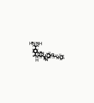 CN/C=C(\C=N)c1ccc(C(C)Nc2cc(-c3cnc4cc(OCCCN5CCCC5)ccn34)ncn2)cc1